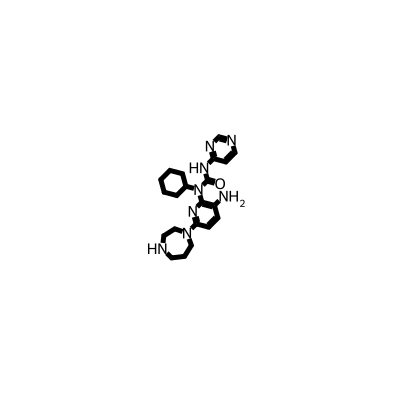 Nc1ccc(N2CCCNCC2)nc1N(C(=O)Nc1ccncn1)C1CCCCC1